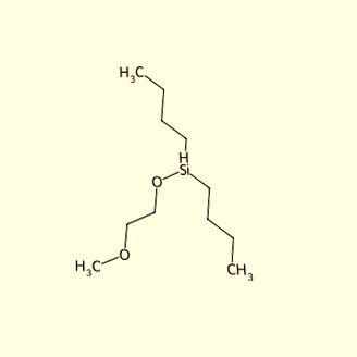 CCCC[SiH](CCCC)OCCOC